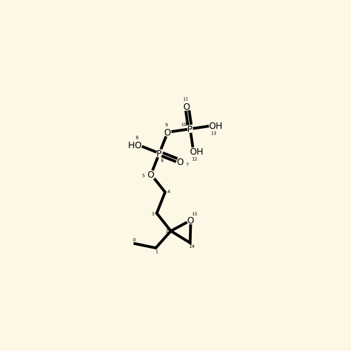 CCC1(CCOP(=O)(O)OP(=O)(O)O)CO1